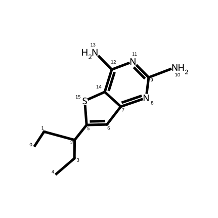 CCC(CC)c1cc2nc(N)nc(N)c2s1